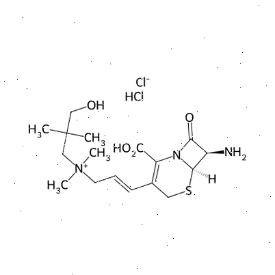 CC(C)(CO)C[N+](C)(C)CC=CC1=C(C(=O)O)N2C(=O)[C@@H](N)[C@H]2SC1.Cl.[Cl-]